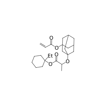 C=CC(=O)OC12CC3CC(C1)CC(OC(C)C(=O)OC1(CC)CCCCC1)(C3)C2